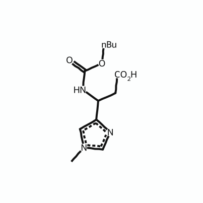 CCCCOC(=O)NC(CC(=O)O)c1cn(C)cn1